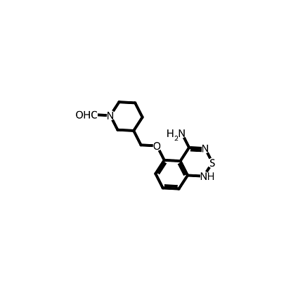 NC1=NSNc2cccc(OCC3CCCN(C=O)C3)c21